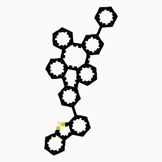 c1ccc(-c2ccc3c(c2)c2ccccc2c2cccc4c5ccc(-c6cccc7c6sc6ccccc67)cc5c5cccc3c5c24)cc1